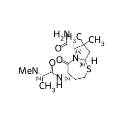 CN[C@@H](C)C(=O)N[C@H]1CCS[C@@H]2CC(C)(C)[C@@H](C(N)=O)N2C1=O